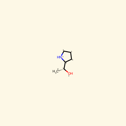 C[C@@H](O)C1CCCN1